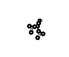 c1ccc(-n2c3ccccc3c3cc(-c4cc5cc6occc6cc5c5cc6c7ccccc7n(-c7ccccc7)c6cc45)ccc32)cc1